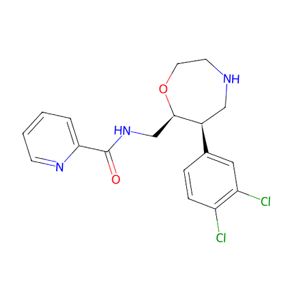 O=C(NC[C@H]1OCCNC[C@H]1c1ccc(Cl)c(Cl)c1)c1ccccn1